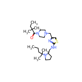 CCCC(C)(C)N1CCCC1CNc1nc(CN2CCN(C(=O)C(C)(C)CC)CC2)cs1